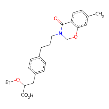 CCOC(Cc1ccc(CCCN2COc3cc(C)ccc3C2=O)cc1)C(=O)O